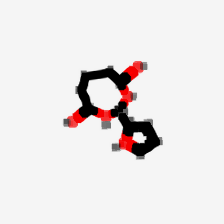 O=C1CCCC(=O)OB(c2ccco2)O1